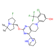 [2H]C1([2H])CC[C@@]2(COc3nc4c(c(N5CC6CCC5CN6)n3)CCN(c3cc(O)cc(Cl)c3C(F)(F)F)C4)C[C@@H](F)CN12